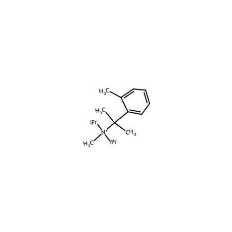 Cc1ccccc1C(C)(C)[N+](C)(C(C)C)C(C)C